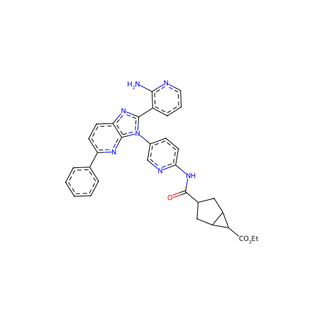 CCOC(=O)C1C2CC(C(=O)Nc3ccc(-n4c(-c5cccnc5N)nc5ccc(-c6ccccc6)nc54)cn3)CC21